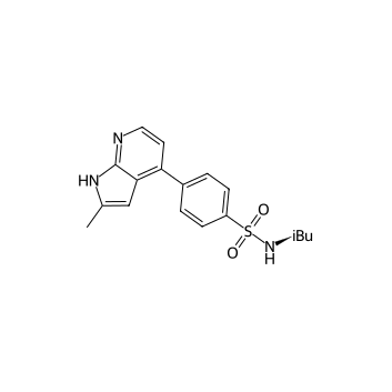 CC[C@H](C)NS(=O)(=O)c1ccc(-c2ccnc3[nH]c(C)cc23)cc1